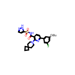 CC(C)COc1cc(F)cc(-c2ccc(C(=O)NS(=O)(=O)c3ccn[nH]3)c(N3CCC4(CCC4)CC3)n2)c1